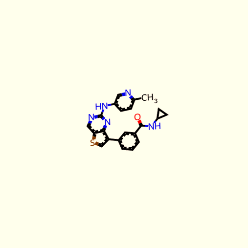 Cc1ccc(Nc2ncc3scc(-c4cccc(C(=O)NC5CC5)c4)c3n2)cn1